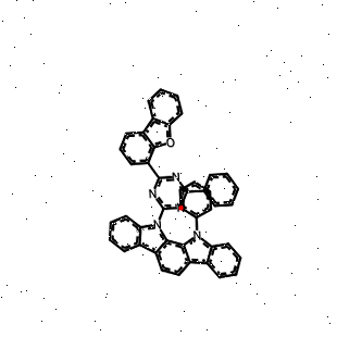 c1ccc(-c2nc(-c3cccc4c3oc3ccccc34)nc(-n3c4ccccc4c4ccc5c6ccccc6n(-c6ccccc6)c5c43)n2)cc1